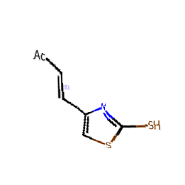 CC(=O)/C=C/c1csc(S)n1